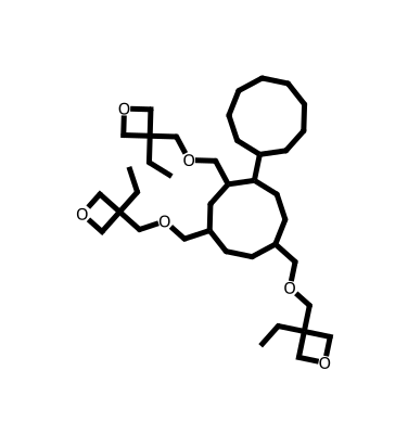 CCC1(COCC2CCC(COCC3(CC)COC3)CC(COCC3(CC)COC3)C(C3CCCCCCCC3)CC2)COC1